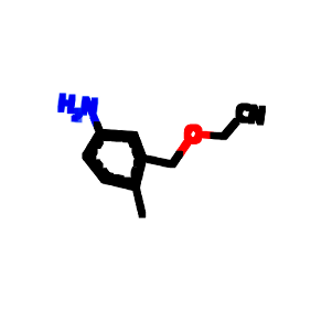 Cc1ccc(N)cc1COCC#N